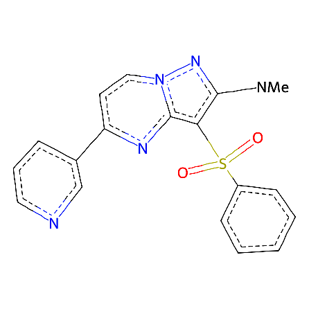 CNc1nn2ccc(-c3cccnc3)nc2c1S(=O)(=O)c1ccccc1